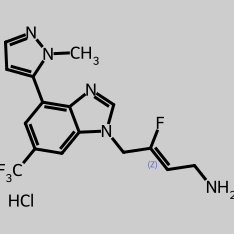 Cl.Cn1nccc1-c1cc(C(F)(F)F)cc2c1ncn2C/C(F)=C/CN